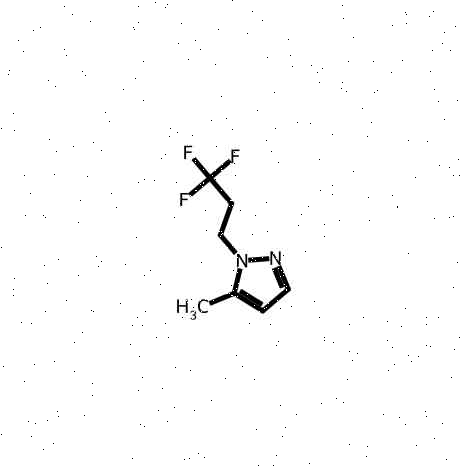 Cc1ccnn1CCC(F)(F)F